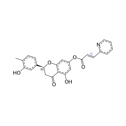 Cc1ccc([C@@H]2CC(=O)c3c(O)cc(OC(=O)/C=C/c4ccccn4)cc3O2)cc1O